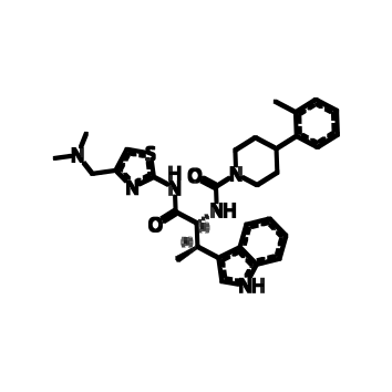 Cc1ccccc1C1CCN(C(=O)N[C@@H](C(=O)Nc2nc(CN(C)C)cs2)[C@H](C)c2c[nH]c3ccccc23)CC1